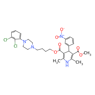 COC(=O)C1=C(C)NC(C)=C(C(=O)OCCCCN2CCN(c3cccc(Cl)c3Cl)CC2)C1c1cccc([N+](=O)[O-])c1